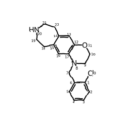 Clc1ccccc1CN1CCOc2cc3c(cc21)CCNCC3